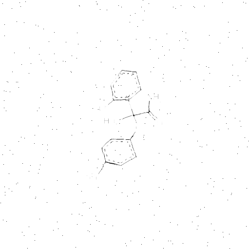 CCCc1ccc(OC(C)(C(N)=O)c2ccccc2Cl)cc1